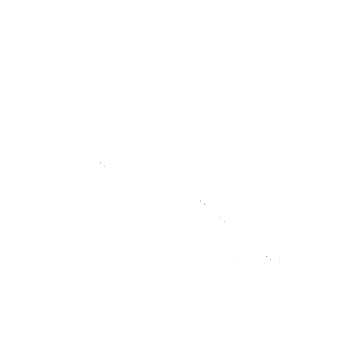 CS(=O)(=O)c1ccc(-n2nc(C(N)=O)c3c2-c2cc(NC(=O)c4cc(Br)ccc4Cl)ccc2CC3)cc1